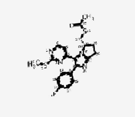 CSc1nccc(-c2c(-c3ccc(F)cc3)nc3n2[C@H](CSC(C)=O)CC3)n1